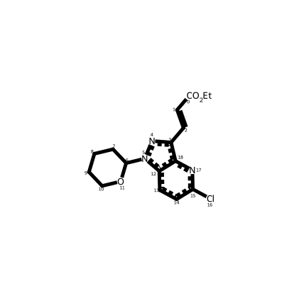 CCOC(=O)/C=C/c1nn(C2CCCCO2)c2ccc(Cl)nc12